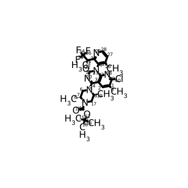 Cc1cc2c(N3C[C@@H](C)N(C(=O)OC(C)(C)C)C[C@@H]3C)nc(=O)n(-c3c(C)ccnc3C(C)C(F)(F)F)c2nc1Cl